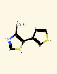 CCOC(=O)c1ncsc1-c1ccsc1